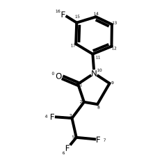 O=C1C(C(F)C(F)F)CCN1c1cccc(F)c1